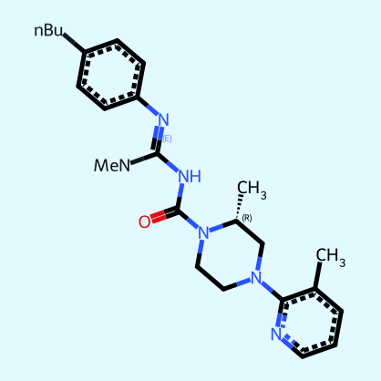 CCCCc1ccc(/N=C(\NC)NC(=O)N2CCN(c3ncccc3C)C[C@H]2C)cc1